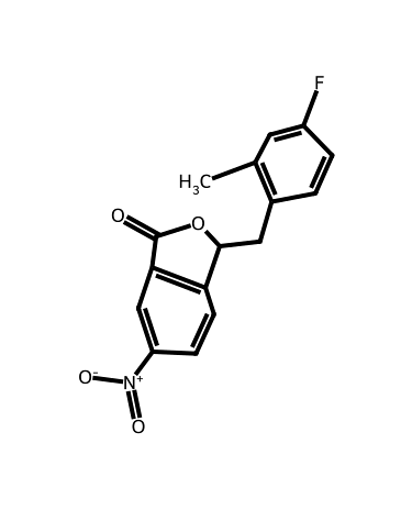 Cc1cc(F)ccc1CC1OC(=O)c2cc([N+](=O)[O-])ccc21